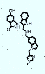 Cn1cnc(Cn2ccc3ccc(CNCc4[nH]c5ccccc5c4[C@@H]4NC(=O)c5ccc(O)cc54)cc32)c1